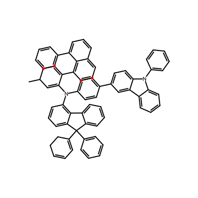 CC1C=C(N(c2ccc(-c3ccc4c(c3)c3ccccc3n4-c3ccccc3)cc2)c2cccc3c2-c2ccccc2C3(C2=CC=CCC2)c2ccccc2)C(c2cccc3cccc(-c4ccccc4)c23)=CC1